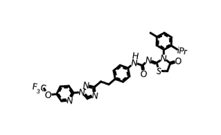 Cc1ccc(C(C)C)c(N2C(=O)CSC2=NC(=O)Nc2ccc(CCc3ncn(-c4ccc(OC(F)(F)F)cn4)n3)cc2)c1